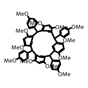 COc1ccc(C2c3cc(c(OC)cc3OC)C(c3ccc(OC)cc3)c3cc(c(OC)cc3OC)C(c3ccc(OC)cc3)c3cc(c(OC)cc3OC)C(c3ccc(OC)cc3)c3cc2c(OC)cc3OC)cc1